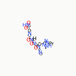 CC(C)n1cnc2cc(-c3ccc4c(c3)N([C@H]3C[C@@H](N5CCCCC5)C3)C(=O)C43CCN(C(=O)[C@]45C[C@H]4CN(C(=O)C4CCN(c6ccc(C7CCC(=O)NC7=O)cc6)CC4)C5)CC3)nc(NC3CC3)c21